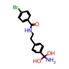 NC(O)(O)c1ccc(CCNC(=O)c2ccc(Br)cc2)cc1